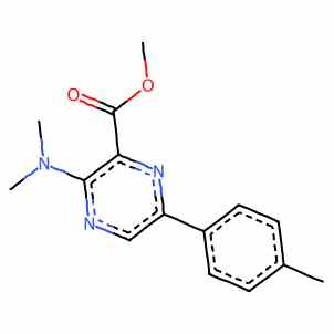 COC(=O)c1nc(-c2ccc(C)cc2)cnc1N(C)C